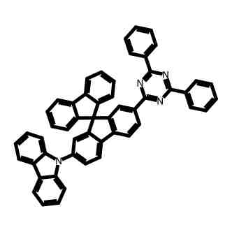 c1ccc(-c2nc(-c3ccccc3)nc(-c3ccc4c(c3)C3(c5ccccc5-c5ccccc53)c3cc(-n5c6ccccc6c6ccccc65)ccc3-4)n2)cc1